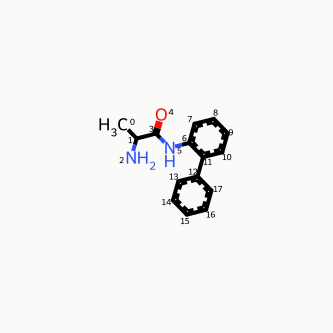 CC(N)C(=O)Nc1ccccc1-c1ccccc1